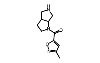 Cc1cc(C(=O)N2CCC3CNCC32)on1